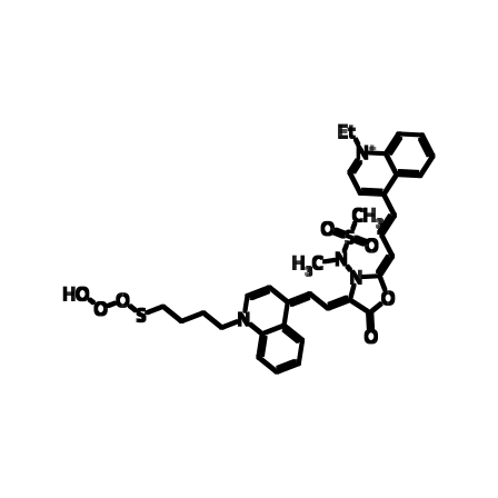 CC[n+]1ccc(C=CC=c2oc(=O)c(=CC=C3C=CN(CCCCSOOO)c4ccccc43)n2N(C)S(C)(=O)=O)c2ccccc21